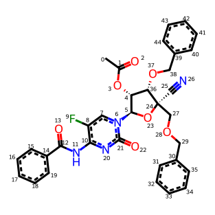 CC(=O)O[C@H]1[C@H](n2cc(F)c(NC(=O)c3ccccc3)nc2=O)O[C@](C#N)(COCc2ccccc2)[C@H]1OCc1ccccc1